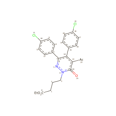 CCOC(=O)CCCn1nc(-c2ccc(Cl)cc2)c(-c2ccc(Cl)cc2)c(C(C)=O)c1=O